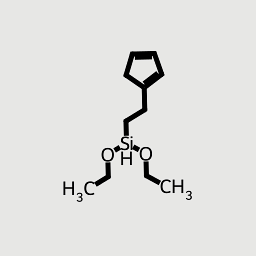 CCO[SiH](CCC1=CC=CC1)OCC